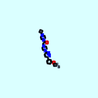 O=C(CN1CCN(c2ccc(-c3cccc(OC(F)(F)F)c3)nn2)CC1)N1CCN(C2CCC2)CC1